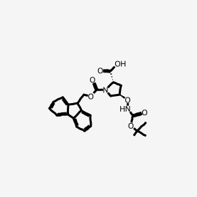 CC(C)(C)OC(=O)NO[C@@H]1C[C@@H](C(=O)O)N(C(=O)OCC2c3ccccc3-c3ccccc32)C1